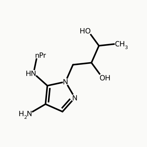 CCCNc1c(N)cnn1CC(O)C(C)O